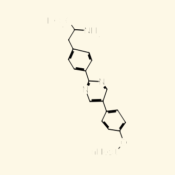 CCCCCCCOc1ccc(-c2cnc(-c3ccc(CC(N)C(=O)O)cc3)nc2)cc1